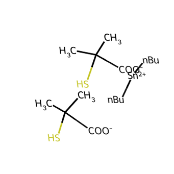 CC(C)(S)C(=O)[O-].CC(C)(S)C(=O)[O-].CCC[CH2][Sn+2][CH2]CCC